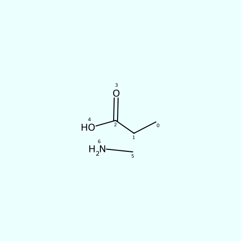 CCC(=O)O.CN